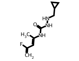 C=C(F)/C=C(\C)NC(=O)NNCC1CC1